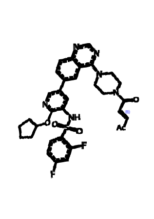 CC(=O)/C=C/C(=O)N1CCN(c2ncnc3ccc(-c4cnc(OC5CCCC5)c(NS(=O)(=O)c5ccc(F)cc5F)c4)cc23)CC1